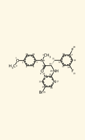 COc1ccc(N(C)C(=O)[C@H](Cc2cc(F)cc(F)c2)Nc2ncc(Br)cn2)cc1